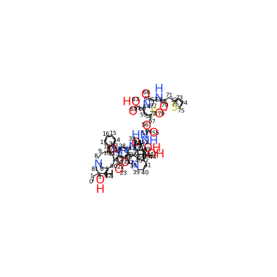 CC[C@]1(O)C[C@@H]2CN(CCc3c([nH]c4ccccc34)[C@@](C(=O)OC)(c3cc4c(cc3OC)N(C)[C@@H]3C45CCN4CC=C[C@](CC)([C@H]45)[C@@H](O)[C@]3(O)C(=O)NNC(=O)OCC3C=C(C(=O)O)N4C(=O)C(NC(=O)Cc5cccs5)C4[S+]3[O-])C2)C1